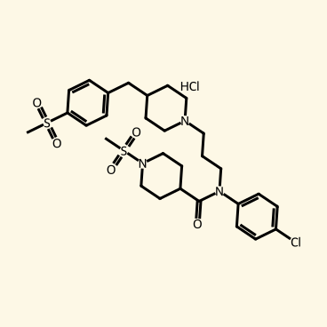 CS(=O)(=O)c1ccc(CC2CCN(CCCN(C(=O)C3CCN(S(C)(=O)=O)CC3)c3ccc(Cl)cc3)CC2)cc1.Cl